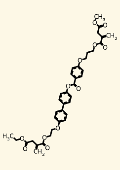 C=C(CC(=O)OC)C(=O)OCCCOc1ccc(C(=O)Oc2ccc(-c3ccc(OCCOC(=O)C(=C)CC(=O)OCC)cc3)cc2)cc1